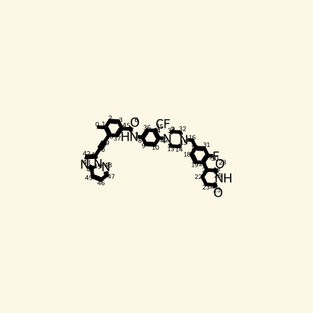 Cc1ccc(C(=O)Nc2ccc(N3CCN(Cc4ccc(C5CCC(=O)NC5=O)c(F)c4)CC3)c(C(F)(F)F)c2)cc1C#Cc1cnc2cccnn12